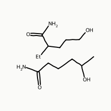 CC(O)CCCC(N)=O.CCC(CCCO)C(N)=O